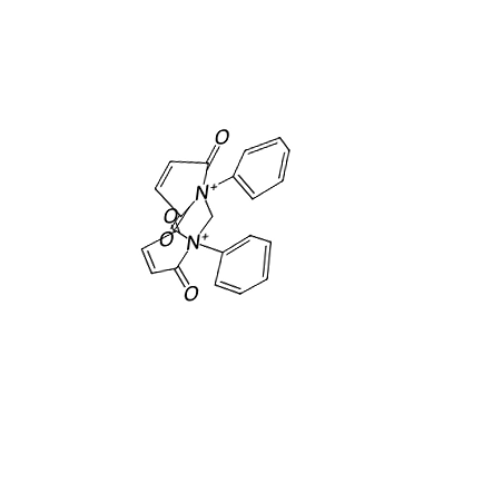 O=C1C=CC(=O)[N+]1(C[N+]1(c2ccccc2)C(=O)C=CC1=O)c1ccccc1